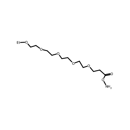 CCOCCOCCOCCOCCOCCC(=O)ON